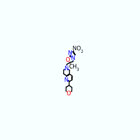 C[C@]1(CN2CCc3nc(C4CCOCC4)ccc3C2)Cn2cc([N+](=O)[O-])nc2O1